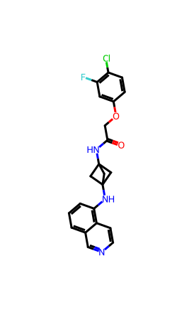 O=C(COc1ccc(Cl)c(F)c1)NC12CC(Nc3cccc4cnccc34)(C1)C2